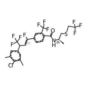 Cc1cc(C(/C=C(\F)c2ccc(C(=O)N[C@H](C)CSCC(F)(F)F)c(C(F)(F)F)c2)C(F)(F)F)cc(C)c1Cl